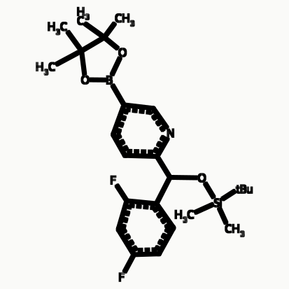 CC1(C)OB(c2ccc(C(O[Si](C)(C)C(C)(C)C)c3ccc(F)cc3F)nc2)OC1(C)C